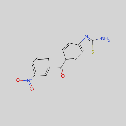 Nc1nc2ccc(C(=O)c3cccc([N+](=O)[O-])c3)cc2s1